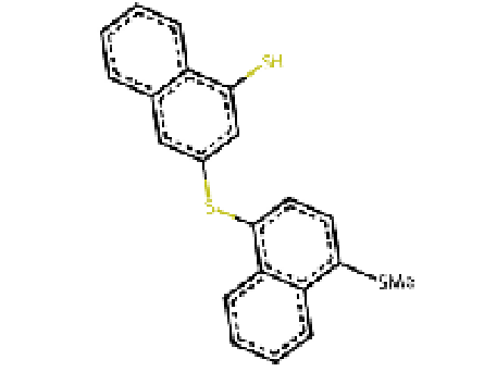 CSc1ccc(Sc2cc(S)c3ccccc3c2)c2ccccc12